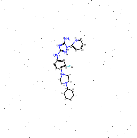 Nc1nc(Nc2ccc(N3CCN(C4CCCCC4)CC3)c(F)c2)nn1-c1ccccn1